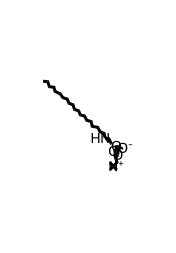 CCCCCCCCCCCCCCCCCCCCNCCOP(=O)([O-])OCC[N+](C)(C)C